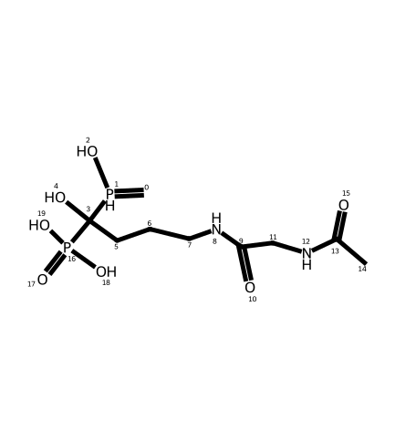 C=[PH](O)C(O)(CCCNC(=O)CNC(C)=O)P(=O)(O)O